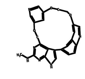 CNc1nc2c3c(c[nH]c3n1)-c1ccc3ncc(cc3c1)OCCOc1cncc(c1)OC2